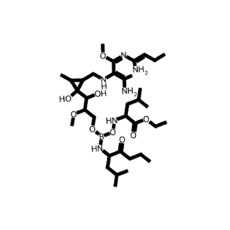 CC/C=C(N)/N=C(OC)\C(NCC1C(C)C1(O)C(O)C(COB(NC(CC(C)C)C(=O)CCC)ONC(CC(C)C)C(=O)OCC)OC)=C(/C)N